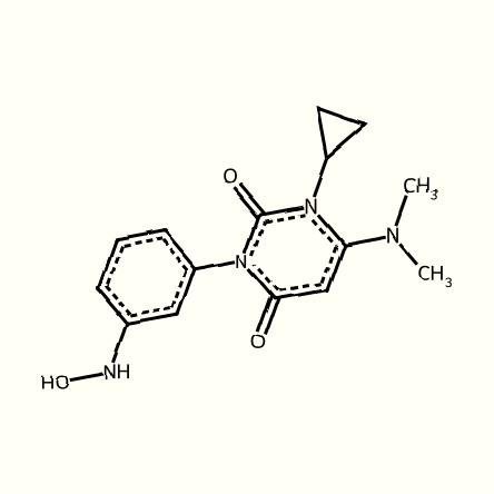 CN(C)c1cc(=O)n(-c2cccc(NO)c2)c(=O)n1C1CC1